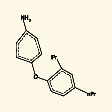 CCCc1ccc(Oc2ccc(N)cc2)c(C(C)C)c1